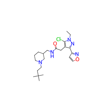 CCn1nc(-c2ccon2)c(CC(=O)NCC2CCCN(CCC(C)(C)C)C2)c1Cl